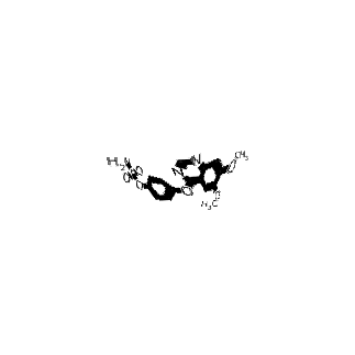 COc1cc2ncnc(Oc3ccc(OS(N)(=O)=O)cc3)c2cc1OC